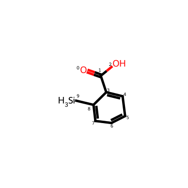 O=C(O)c1ccccc1[SiH3]